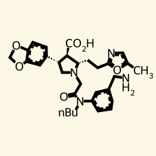 CCCCN(C(=O)CN1C[C@H](c2ccc3c(c2)OCO3)[C@@H](C(=O)O)[C@@H]1CCc1ncc(C)o1)c1cccc(CN)c1